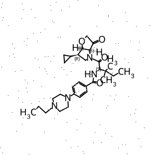 CCCN1CCN(c2ccc(C(=O)N[C@H](C(=O)N3C[C@@H](C4CC4)[C@H]4OCC(=O)[C@H]43)C(C)(C)CC)cc2)CC1